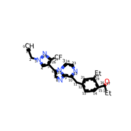 C#CCn1cc(-c2cnc3c(Cc4ccc(C(=O)CC)c(CC)c4)nccn23)c(C(F)(F)F)n1